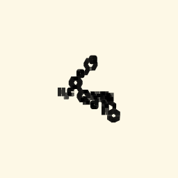 Cc1ccc(OCC2CCOCC2)cc1-c1ccnc(NC(=O)c2nnc(Cc3ccccc3)[nH]2)c1